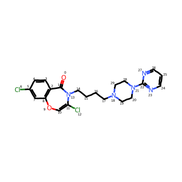 O=C1c2ccc(Cl)cc2OC=C(Cl)N1CCCCN1CCN(c2ncccn2)CC1